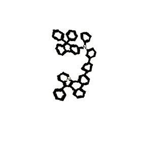 c1ccc(-c2c3c4ccccc4c4ccc(-c5ccc(-c6cccc(N(c7ccccc7)c7ccc8c(c7)C(c7ccccc7)(c7ccccc7)c7ccccc7-8)c6)cc5)cc4c3n3ccccc23)cc1